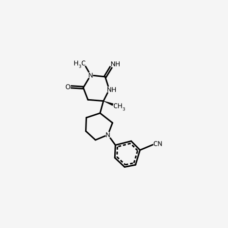 CN1C(=N)N[C@](C)(C2CCCN(c3cccc(C#N)c3)C2)CC1=O